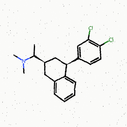 CC([C@@H]1Cc2ccccc2[C@H](c2ccc(Cl)c(Cl)c2)C1)N(C)C